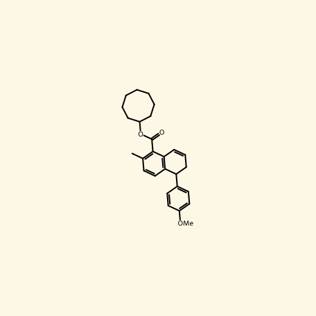 COc1ccc(C2CC=Cc3c2ccc(C)c3C(=O)OC2CCCCCCC2)cc1